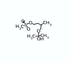 CC(CCOS(C)(=O)=O)COC(C)(C)O